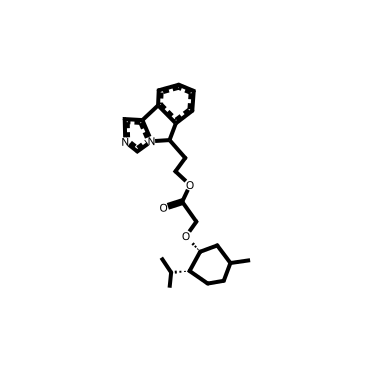 CC1CC[C@H](C(C)C)[C@H](OCC(=O)OCCC2c3ccccc3-c3cncn32)C1